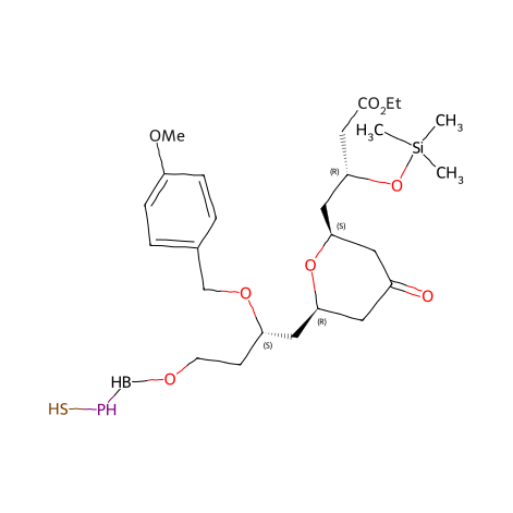 CCOC(=O)C[C@@H](C[C@H]1CC(=O)C[C@@H](C[C@H](CCOBPS)OCc2ccc(OC)cc2)O1)O[Si](C)(C)C